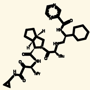 CCC[C@H](NC(=O)[C@@H]1[C@H]2CCC[C@H]2CN1C(=O)[C@@H](NC[C@@H](NC(=O)c1cnccn1)C1CCCCC1)C(C)(C)C)C(=O)C(=O)NC1CC1